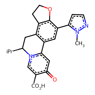 CC(C)C1Cc2c(cc(-c3ccnn3C)c3c2CCO3)-c2cc(=O)c(C(=O)O)cn21